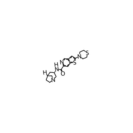 O=C(N[C@@H]1C[C@H]2CCN(C2)C1)c1cc2sc(N3CCSCC3)cc2cn1